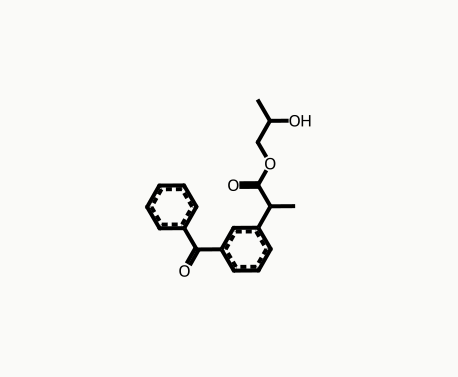 CC(O)COC(=O)C(C)c1cccc(C(=O)c2ccccc2)c1